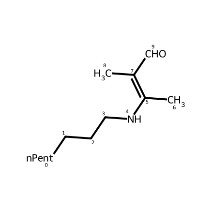 CCCCCCCCNC(C)=C(C)C=O